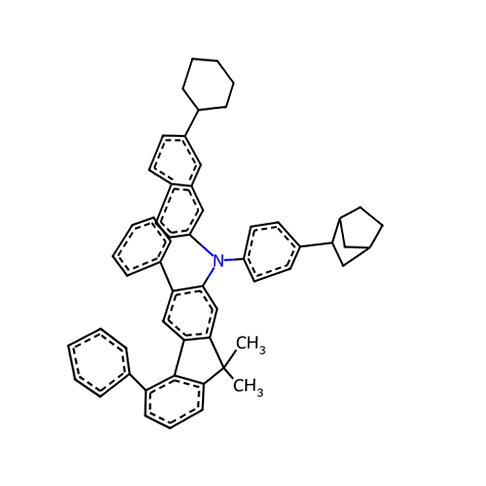 CC1(C)c2cc(N(c3ccc(C4CC5CCC4C5)cc3)c3ccc4ccc(C5CCCCC5)cc4c3)c(-c3ccccc3)cc2-c2c(-c3ccccc3)cccc21